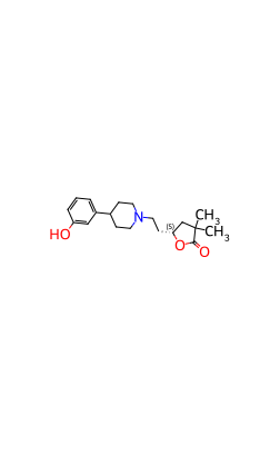 CC1(C)C[C@@H](CCN2CCC(c3cccc(O)c3)CC2)OC1=O